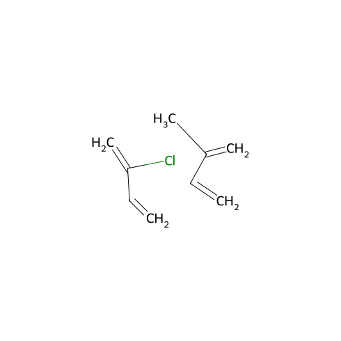 C=CC(=C)C.C=CC(=C)Cl